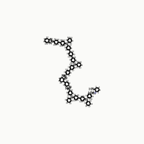 N=C1C=CC=C/C1=N/Nc1ccc(N(c2ccccc2)c2ccc(-c3ccc(N(c4ccccc4)c4ccc(-n5nc6ccc(C7CC=Cc8nn(-c9ccc(-c%10ccc(N(c%11ccccc%11)c%11ccc(-c%12ccc(-c%13ccc(N(c%14ccccc%14)c%14ccc(-c%15ccc(-n%16nc%17ccccc%17n%16)cc%15)cc%14)cc%13)cc%12)cc%11)cc%10)cc9)nc87)cc6n5)cc4)cc3)cc2)cc1